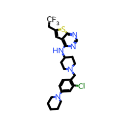 FC(F)(F)Cc1cc2c(NC3CCN(Cc4ccc(N5CCCCC5)cc4Cl)CC3)ncnc2s1